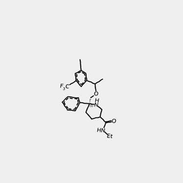 CCNC(=O)C1CC[C@@](COC(C)c2cc(C)cc(C(F)(F)F)c2)(c2ccccc2)NC1